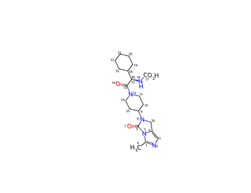 Cc1ncc2n1C(=O)N(C1CCN(C(=O)[C@H](NC(=O)O)C3CCCCC3)CC1)C2